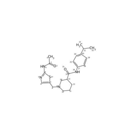 CC(=O)Nc1ncc(CN2CCCC(C(=O)Nc3ccc(C(C)C)cc3)C2)s1